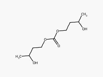 CC(O)CCOC(=O)OCCC(C)O